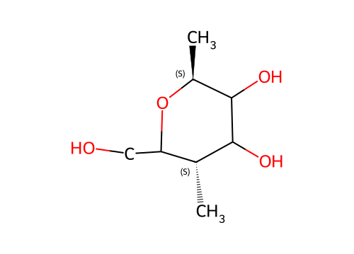 C[C@@H]1C(CO)O[C@@H](C)C(O)C1O